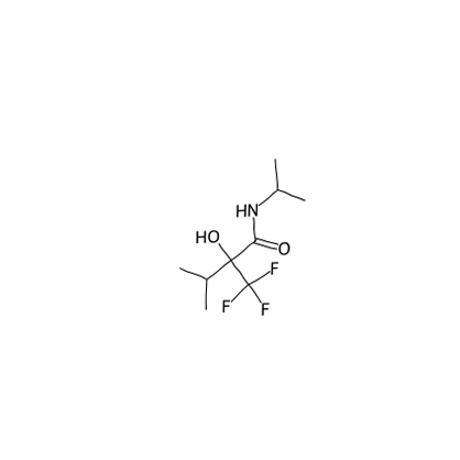 CC(C)NC(=O)C(O)(C(C)C)C(F)(F)F